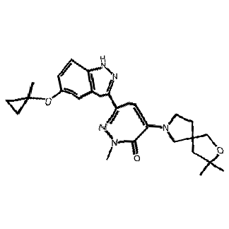 Cn1nc(-c2n[nH]c3ccc(OC4(C)CC4)cc23)cc(N2CCC3(COC(C)(C)C3)C2)c1=O